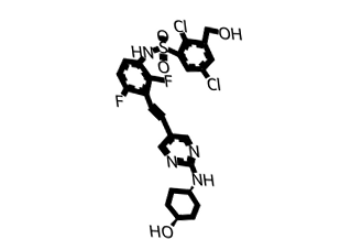 O=S(=O)(Nc1ccc(F)c(C#Cc2cnc(N[C@H]3CC[C@H](O)CC3)nc2)c1F)c1cc(Cl)cc(CO)c1Cl